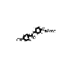 [C-]#[N+]c1ccc(C(=O)Oc2ccc(OCCCCC)cc2)cc1